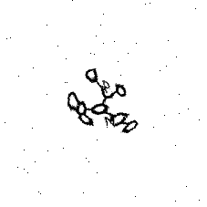 c1ccc(-c2ccc(-c3cc(-c4cc(-c5ccccc5)pc(-c5ccccc5)c4)cc(-c4cc5ccccc5c5ccccc45)c3)nc2)cc1